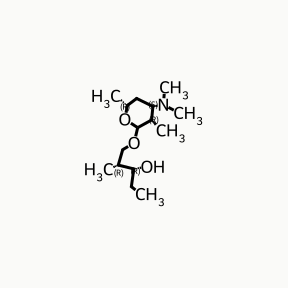 CC[C@@H](O)[C@H](C)COC1O[C@H](C)C[C@H](N(C)C)[C@H]1C